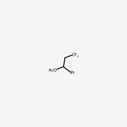 CC(=O)OC(CC(F)(F)F)C(C)C